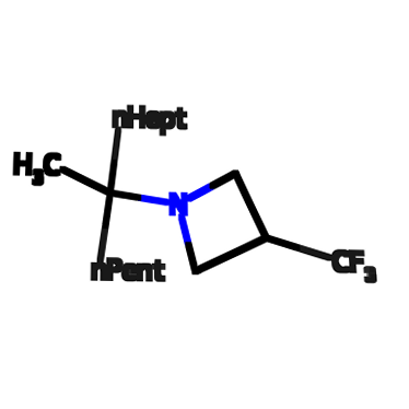 CCCCCCCC(C)(CCCCC)N1CC(C(F)(F)F)C1